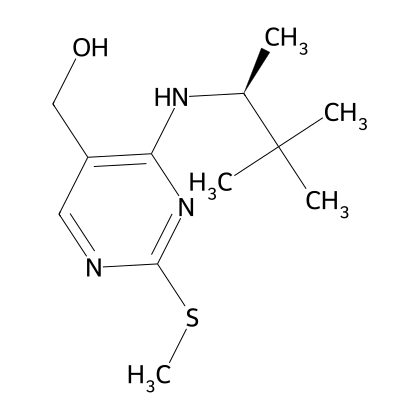 CSc1ncc(CO)c(N[C@@H](C)C(C)(C)C)n1